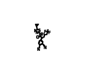 CC(F)(F)CCC[C@H](C(=O)Nc1nnc(C2CC2)s1)c1ccc(C#N)c(C#N)c1